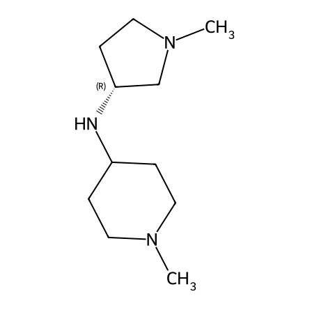 CN1CCC(N[C@@H]2CCN(C)C2)CC1